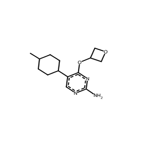 CC1CCC(c2cnc(N)nc2OC2COC2)CC1